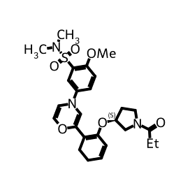 CCC(=O)N1CC[C@H](OC2=C(C3=CN(c4ccc(OC)c(S(=O)(=O)N(C)C)c4)C=CO3)CCC=C2)C1